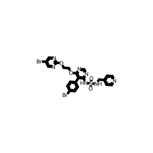 O=S(=O)(NCc1ccncc1)Nc1ncnc(OCCOc2ncc(Br)cn2)c1-c1ccc(Br)cc1